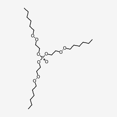 CCCCCCOOCCOP(=O)(OCCOOCCCCCC)OCCOOCCCCCC